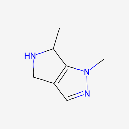 CC1NCc2cnn(C)c21